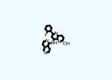 Cl.Fc1ccccc1-c1cc(Nc2nccc3cnccc23)c2ncccc2n1